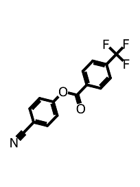 N#Cc1ccc(OC(=O)c2ccc(C(F)(F)F)cc2)cc1